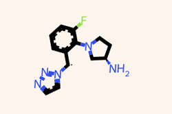 N[C@@H]1CCN(c2c(F)cccc2[CH]n2ccnn2)C1